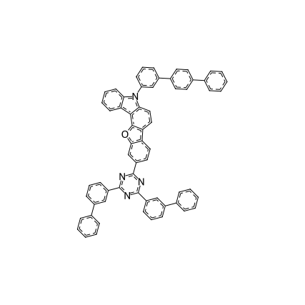 c1ccc(-c2ccc(-c3cccc(-n4c5ccccc5c5c6oc7cc(-c8nc(-c9cccc(-c%10ccccc%10)c9)nc(-c9cccc(-c%10ccccc%10)c9)n8)ccc7c6ccc54)c3)cc2)cc1